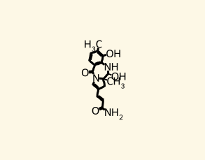 Cc1ccc2c(c1O)N[C@@H](O)[C@]1(C)CC(/C=C/C(N)=O)=CN1C2=O